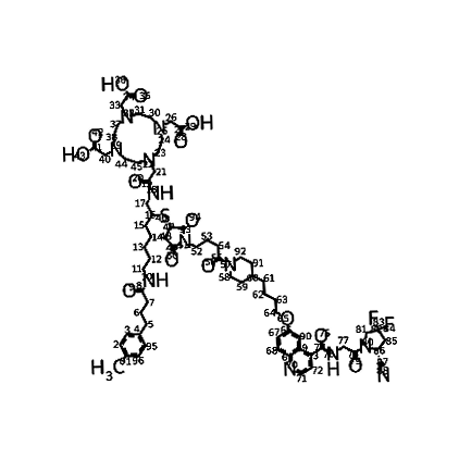 Cc1ccc(CCCC(=O)NCCCCCC(CNC(=O)CN2CCN(CC(=O)O)CCN(CC(=O)O)CCN(CC(=O)O)CC2)SC2CC(=O)N(CCCC(=O)N3CCC(CCCCOc4ccc5nccc(C(=O)NCC(=O)N6CC(F)(F)C[C@@H]6C#N)c5c4)CC3)C2=O)cc1